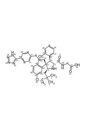 CC(C)(C)C[C@@H]1N[C@@H](C(=O)NCC(=O)O)[C@H](c2ccccc2Cl)[C@]12CN(Cc1ccc(-c3nnn[nH]3)cc1)c1ccc(Cl)cc12